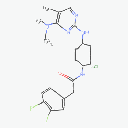 Cc1cnc(NC2CCC(NC(=O)Cc3ccc(F)c(F)c3)CC2)nc1N(C)C.Cl